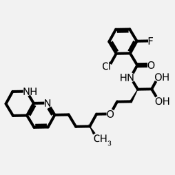 C[C@@H](CCc1ccc2c(n1)NCCC2)COCC[C@@H](NC(=O)c1c(F)cccc1Cl)C(O)O